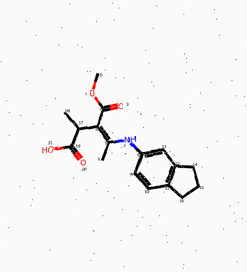 COC(=O)C(=C(C)Nc1ccc2c(c1)CCC2)C(C)C(=O)O